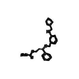 CNC(=O)OCCC(OCc1cccc(NCc2ccccc2)c1)c1ccccc1